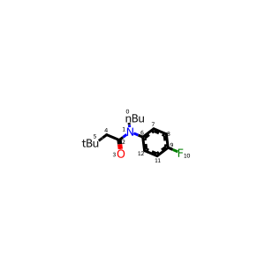 CCCCN(C(=O)CC(C)(C)C)c1ccc(F)cc1